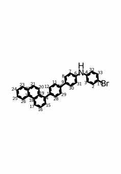 Brc1ccc(Nc2ccc(-c3ccc(-c4cccc5c4ccc4ccccc45)cc3)cc2)cc1